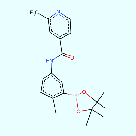 Cc1ccc(NC(=O)c2ccnc(C(F)(F)F)c2)cc1B1OC(C)(C)C(C)(C)O1